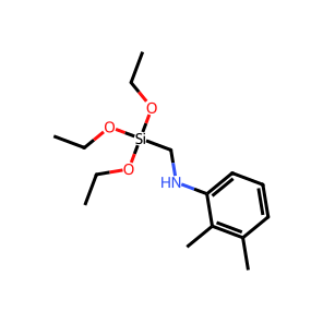 CCO[Si](CNc1cccc(C)c1C)(OCC)OCC